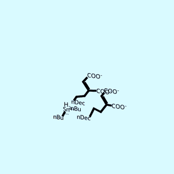 CCCCCCCCCCCC/C(=C/C(=O)[O-])C(=O)[O-].CCCCCCCCCCCC/C(=C/C(=O)[O-])C(=O)[O-].CCC[CH2][SnH2+4][CH2]CCC